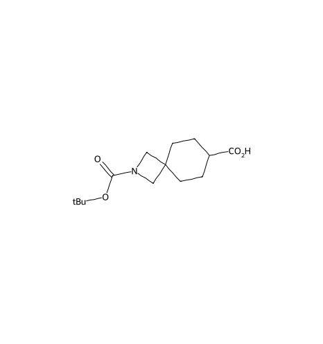 CC(C)(C)OC(=O)N1CC2(CCC(C(=O)O)CC2)C1